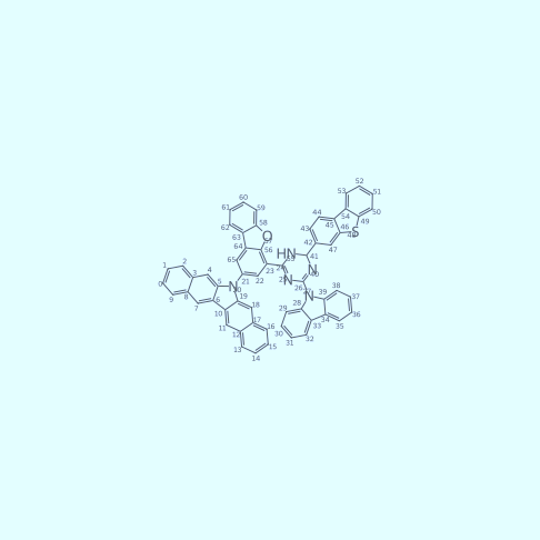 c1ccc2cc3c(cc2c1)c1cc2ccccc2cc1n3-c1cc(C2=NC(n3c4ccccc4c4ccccc43)=NC(c3ccc4c(c3)sc3ccccc34)N2)c2oc3ccccc3c2c1